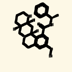 CCOc1cc2c(c(C(=O)N[C@H](C)c3ccccc3)c1)[C@H]1C[C@H]3NCCC[C@H]3CN1CC2